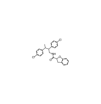 CC(c1ccc(Cl)cc1)C(CNC(=O)C1Cc2ccccc2O1)c1ccc(Cl)cc1